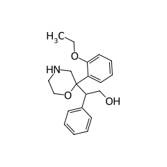 CCOc1ccccc1C1(C(CO)c2ccccc2)CNCCO1